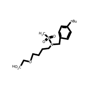 CCCCc1ccc(CN(CCCCOCC(=O)O)S(C)(=O)=O)cc1